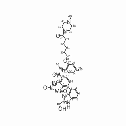 COc1c(-c2cccc3[nH]c(CO)nc23)ccc(C(=O)N(C)c2ccc(C)cc2OCCCCCC(=O)N2CCN(C)CC2)c1NC=O